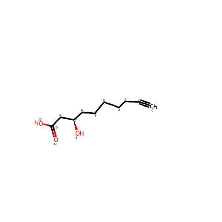 C#CCCCCC[C@@H](O)CC(=O)O